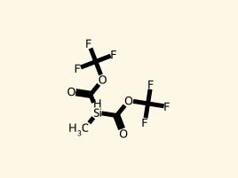 C[SiH](C(=O)OC(F)(F)F)C(=O)OC(F)(F)F